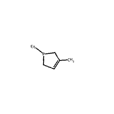 CCP1CC=C(C)C1